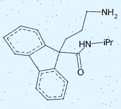 CC(C)NC(=O)C1(CCCN)c2ccccc2-c2ccccc21